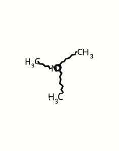 CCCCCCCCc1cc(CCCCCCCC)c[n+](CCCCCC)c1